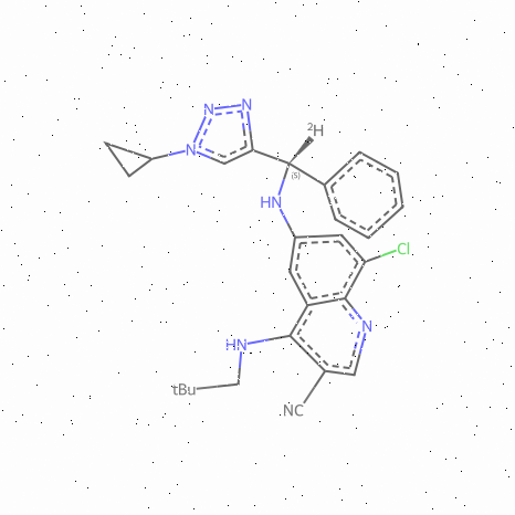 [2H][C@](Nc1cc(Cl)c2ncc(C#N)c(NCC(C)(C)C)c2c1)(c1ccccc1)c1cn(C2CC2)nn1